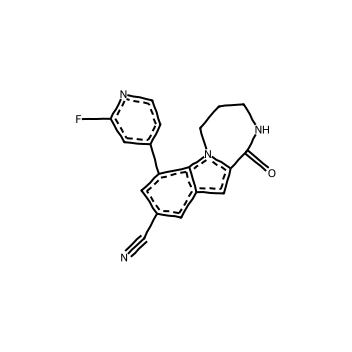 N#Cc1cc(-c2ccnc(F)c2)c2c(c1)cc1n2CCCNC1=O